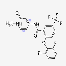 CN/C=C\C(=C/C=O)NC(=O)c1cc(C(F)(F)F)ccc1Oc1c(F)cccc1F